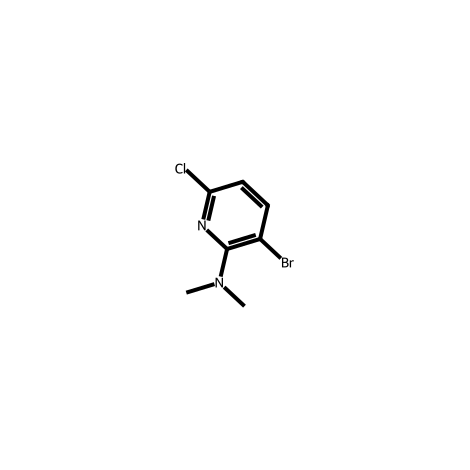 CN(C)c1nc(Cl)ccc1Br